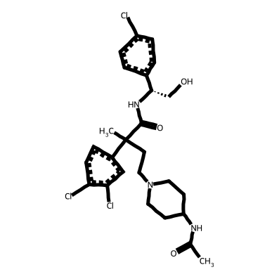 CC(=O)NC1CCN(CCC(C)(C(=O)N[C@@H](CO)c2ccc(Cl)cc2)c2ccc(Cl)c(Cl)c2)CC1